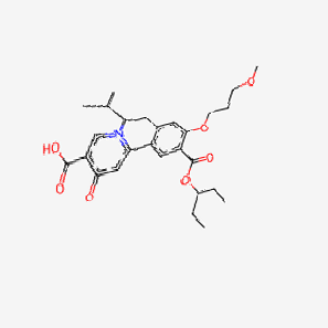 CCC(CC)OC(=O)c1cc2c(cc1OCCCOC)CC(C(C)C)n1cc(C(=O)O)c(=O)cc1-2